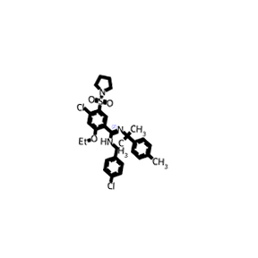 CCOc1cc(Cl)c(S(=O)(=O)N2CCCC2)cc1/C(=N/C(C)(C)c1ccc(C)cc1)NCc1ccc(Cl)cc1